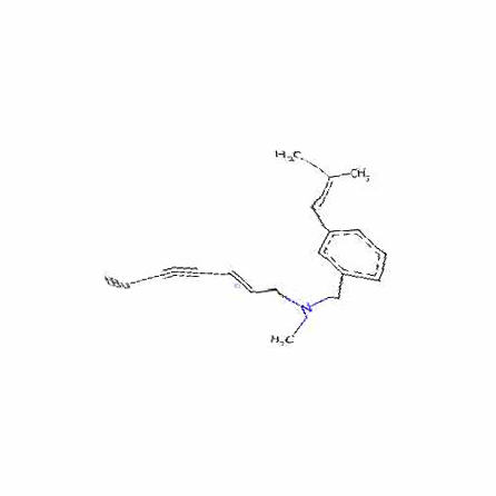 CC(C)=Cc1cccc(CN(C)C/C=C/C#CC(C)(C)C)c1